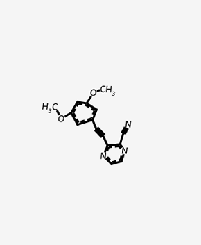 COc1cc(C#Cc2nccnc2C#N)cc(OC)c1